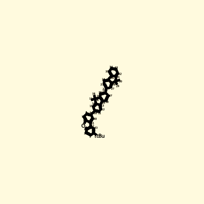 CC(C)(C)c1ccc2oc3ccc(-c4ccc5c(c4)C(C)(C)c4cc(-c6ccc7c(c6)C(C)(C)c6ccccc6-7)ccc4-5)cc3c2c1